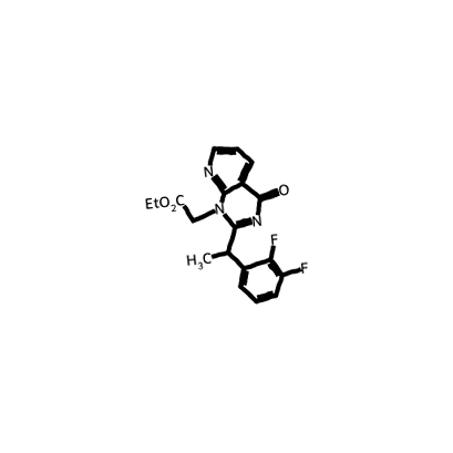 CCOC(=O)Cn1c(C(C)c2cccc(F)c2F)nc(=O)c2cccnc21